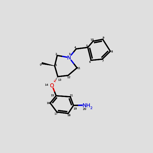 C[C@H]1CN(Cc2ccccc2)CC[C@@H]1Oc1cccc(N)c1